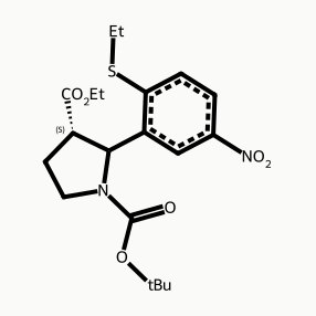 CCOC(=O)[C@H]1CCN(C(=O)OC(C)(C)C)C1c1cc([N+](=O)[O-])ccc1SCC